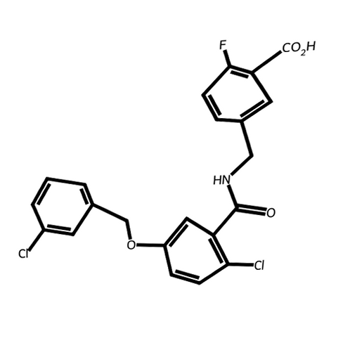 O=C(O)c1cc(CNC(=O)c2cc(OCc3cccc(Cl)c3)ccc2Cl)ccc1F